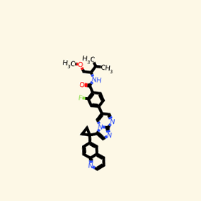 COCC(NC(=O)c1ccc(-c2cnc3ncc(C4(c5ccc6ncccc6c5)CC4)n3c2)cc1F)C(C)C